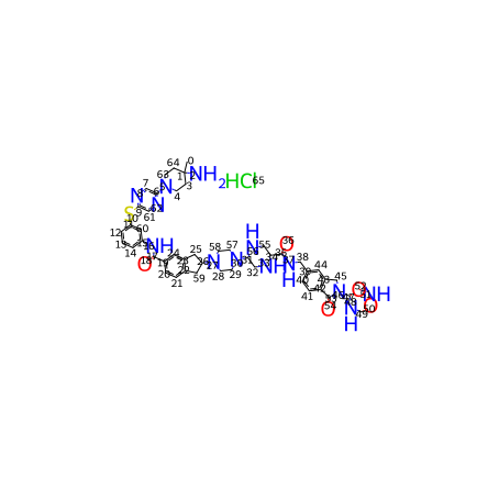 CC1(N)CCN(c2cnc(Sc3cccc(NC(=O)c4ccc5c(c4)CC(N4CCN(C6CNC(C(=O)NCc7ccc8c(c7)CN(C7NCONO7)C8=O)CN6)CC4)C5)c3)cn2)CC1.Cl